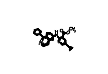 COC(=O)c1cc(C2CC2)cnc1Nc1ccc2c(-c3ccccc3)nccc2c1